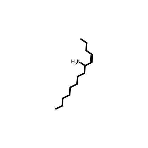 CCC/C=C\C(N)CCCCCCCC